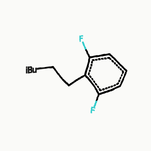 CCC(C)CCc1c(F)cccc1F